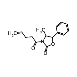 C=CCCC(=O)N1C(=O)OC(c2ccccc2)C1C